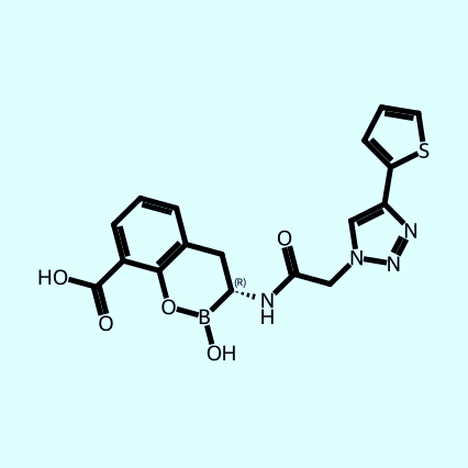 O=C(Cn1cc(-c2cccs2)nn1)N[C@H]1Cc2cccc(C(=O)O)c2OB1O